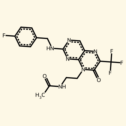 CC(=O)NCCn1c(=O)c(C(F)(F)F)nc2cnc(NCc3ccc(F)cc3)nc21